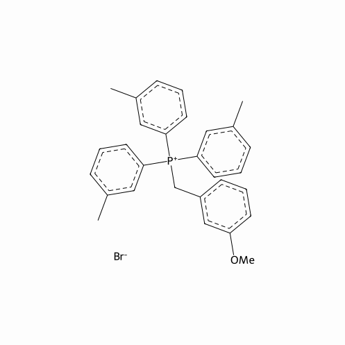 COc1cccc(C[P+](c2cccc(C)c2)(c2cccc(C)c2)c2cccc(C)c2)c1.[Br-]